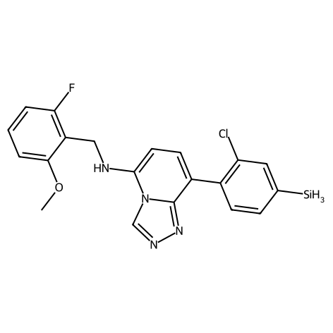 COc1cccc(F)c1CNc1ccc(-c2ccc([SiH3])cc2Cl)c2nncn12